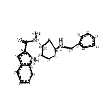 CCN(C(=O)c1cc2ccccc2[nH]1)[C@H]1CCC[C@H](NCc2ccccc2)C1